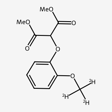 [2H]C([2H])([2H])Oc1ccccc1OC(C(=O)OC)C(=O)OC